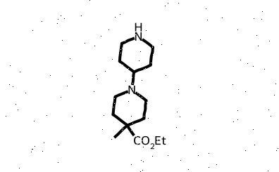 CCOC(=O)C1(C)CCN(C2CCNCC2)CC1